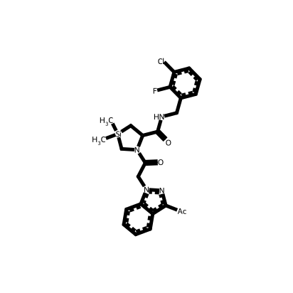 CC(=O)c1nn(CC(=O)N2C[Si](C)(C)CC2C(=O)NCc2cccc(Cl)c2F)c2ccccc12